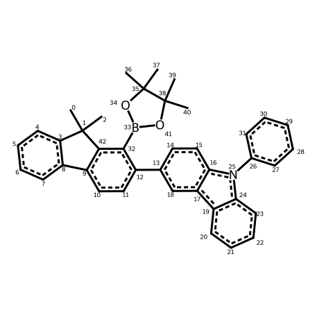 CC1(C)c2ccccc2-c2ccc(-c3ccc4c(c3)c3ccccc3n4-c3ccccc3)c(B3OC(C)(C)C(C)(C)O3)c21